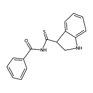 O=C(NC(=S)C1CNc2ccccc21)c1ccccc1